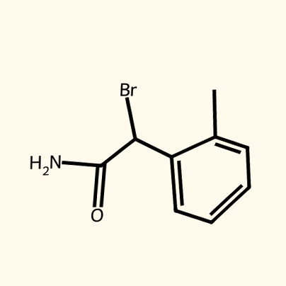 Cc1ccccc1C(Br)C(N)=O